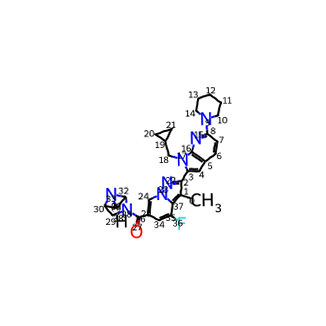 Cc1c(-c2cc3ccc(N4CCCCC4)nc3n2CC2CC2)nn2cc(C(=O)N3CC4[C@@H]5C3N45)cc(F)c12